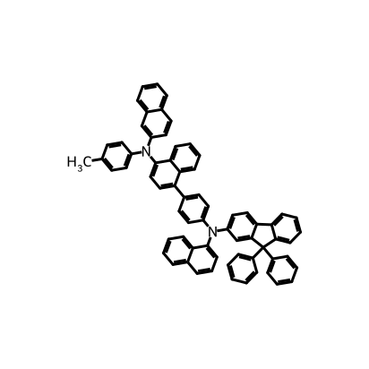 Cc1ccc(N(c2ccc3ccccc3c2)c2ccc(-c3ccc(N(c4ccc5c(c4)C(c4ccccc4)(c4ccccc4)c4ccccc4-5)c4cccc5ccccc45)cc3)c3ccccc23)cc1